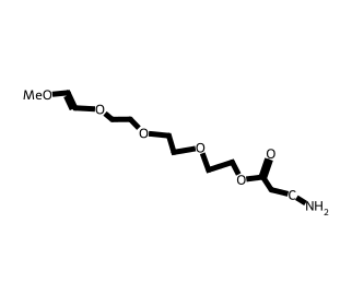 COC=COCCOCCOCCOC(=O)CCN